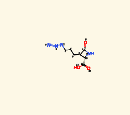 [N-]=[N+]=NCCC[C@H]1C(=O)N[C@@H]1C(=O)O